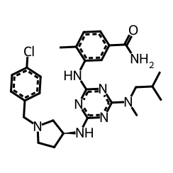 Cc1ccc(C(N)=O)cc1Nc1nc(N[C@H]2CCN(Cc3ccc(Cl)cc3)C2)nc(N(C)CC(C)C)n1